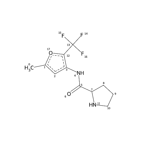 Cc1cc(NC(=O)C2CCCN2)c(C(F)(F)F)o1